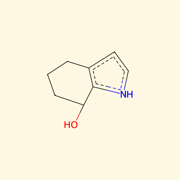 OC1CCCc2cc[nH]c21